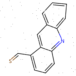 S=Cc1cccc2nc3ccccc3cc12